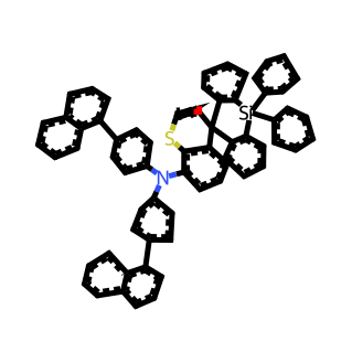 c1ccc([Si]2(c3ccccc3)c3ccccc3C3(c4ccccc4Sc4c(N(c5ccc(-c6cccc7ccccc67)cc5)c5ccc(-c6cccc7ccccc67)cc5)cccc43)c3ccccc32)cc1